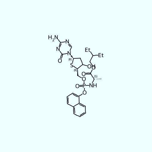 CCC(CC)COC(=O)[C@H](C)NP(=O)(OC[C@H]1S[C@@H](n2cnc(N)nc2=O)CC1O)Oc1cccc2ccccc12